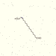 CCCCCCCC/C=C\CCCCCCCCCCCCCC=O